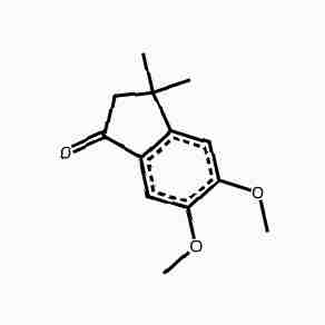 COc1cc2c(cc1OC)C(C)(C)CC2=O